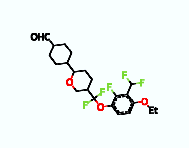 CCOc1ccc(OC(F)(F)C2CCC(C3CCC(C=O)CC3)OC2)c(F)c1C(F)F